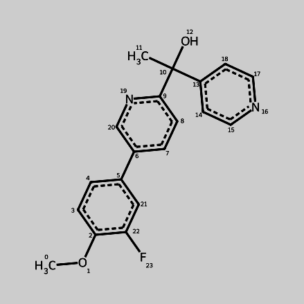 COc1ccc(-c2ccc(C(C)(O)c3ccncc3)nc2)cc1F